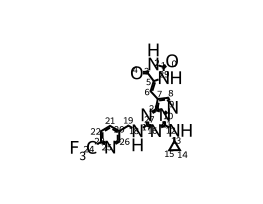 O=C1NC(=O)/C(=C/c2cnn3c(NC4CC4)nc(NCc4ccc(C(F)(F)F)nc4)nc23)N1